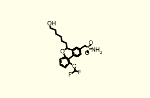 NS(=O)(=O)Cc1ccc2c(c1)C(CCCCCCO)Oc1cccc(OC(F)F)c1-2